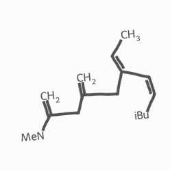 C=C(CC(=C)NC)CC(/C=C\C(C)CC)=C/C